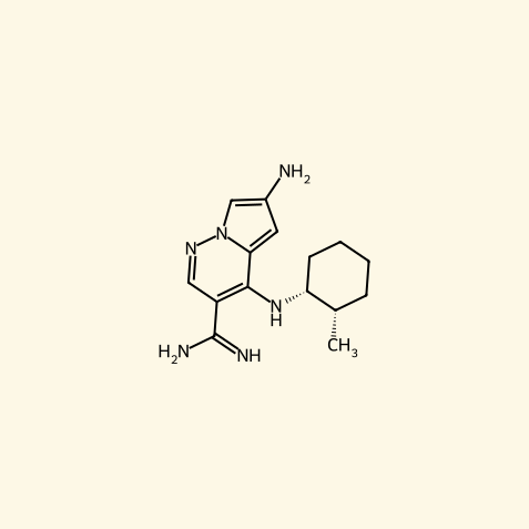 C[C@H]1CCCC[C@H]1Nc1c(C(=N)N)cnn2cc(N)cc12